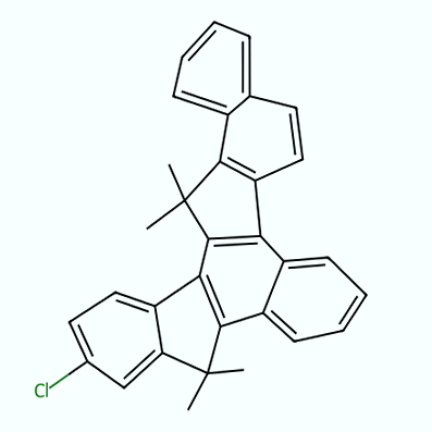 CC1(C)c2c3c(c4ccccc4c2-c2ccc4ccccc4c21)C(C)(C)c1cc(Cl)ccc1-3